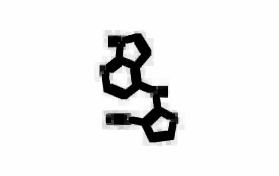 O=Cc1ccsc1Nc1ccnc2[nH]ccc12